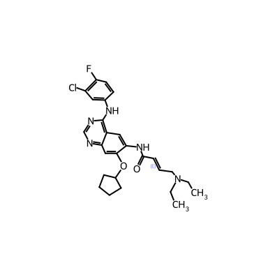 CCN(CC)C/C=C/C(=O)Nc1cc2c(Nc3ccc(F)c(Cl)c3)ncnc2cc1OC1CCCC1